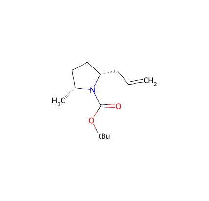 C=CC[C@H]1CC[C@@H](C)N1C(=O)OC(C)(C)C